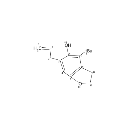 C=CCc1cc2c(c(C(C)(C)C)c1O)CCO2